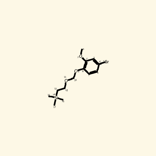 COc1cc(Br)ccc1OCOCC[Si](C)(C)C